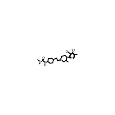 Cc1ccc(N2CCN(CCC3CCC(NC(=O)N(C)C)CC3)CC2C)c(Cl)c1Cl